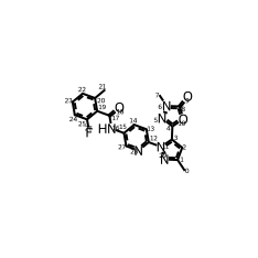 Cc1cc(-c2nn(C)c(=O)o2)n(-c2ccc(NC(=O)c3c(C)cccc3F)cn2)n1